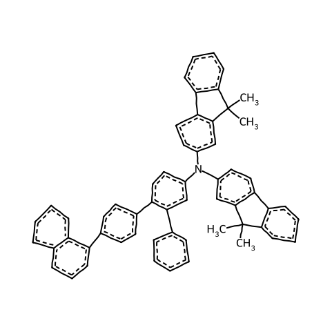 CC1(C)c2ccccc2-c2ccc(N(c3ccc(-c4ccc(-c5cccc6ccccc56)cc4)c(-c4ccccc4)c3)c3ccc4c(c3)C(C)(C)c3ccccc3-4)cc21